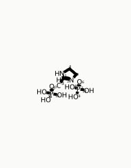 CC1=NCCN1.O=P(O)(O)O.O=P(O)(O)O